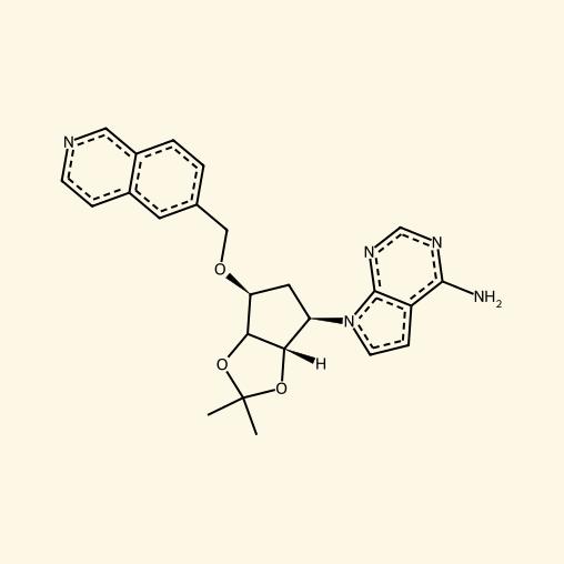 CC1(C)OC2[C@@H](OCc3ccc4cnccc4c3)C[C@@H](n3ccc4c(N)ncnc43)[C@@H]2O1